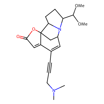 COC(OC)C1CCC2N1C1C=C(C#CCN(C)C)C3=CC(=O)OC32C1